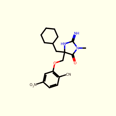 CN1C(=N)NC(COc2cc([N+](=O)[O-])ccc2C#N)(CC2CCCCC2)C1=O